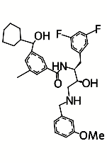 COc1cccc(CNC[C@H](O)[C@H](Cc2cc(F)cc(F)c2)NC(=O)c2cc(C)cc(C(O)C3CCCCC3)c2)c1